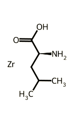 CC(C)C[C@H](N)C(=O)O.[Zr]